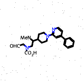 CNC(CN(CC=O)C(=O)O)C1CCN(c2cc(-c3ccccc3)ccn2)CC1